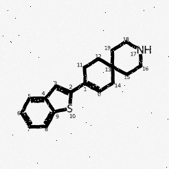 C1=C(c2cc3ccccc3s2)CCC2(C1)CCNCC2